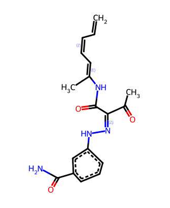 C=C/C=C\C=C(/C)NC(=O)/C(=N\Nc1cccc(C(N)=O)c1)C(C)=O